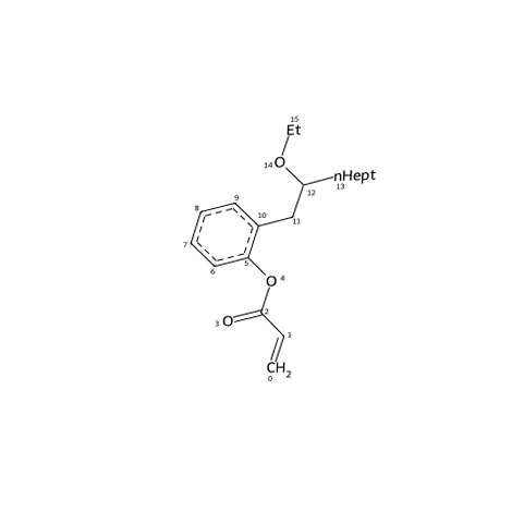 C=CC(=O)Oc1ccccc1CC(CCCCCCC)OCC